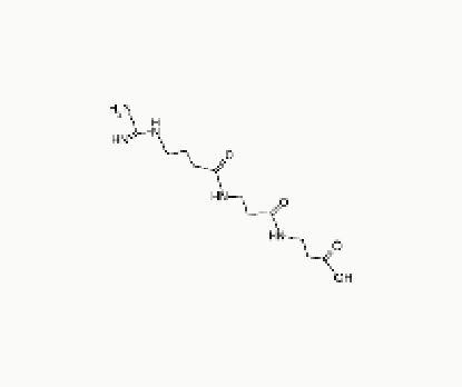 N=C(N)NCCCC(=O)NCCC(=O)NCCC(=O)O